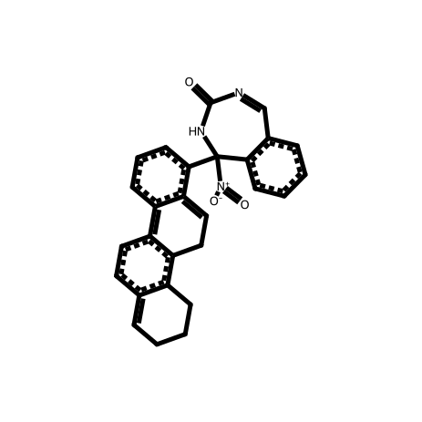 O=C1N=Cc2ccccc2C(c2cccc3c2=CCc2c4c(ccc2=3)=CCCC4)([N+](=O)[O-])N1